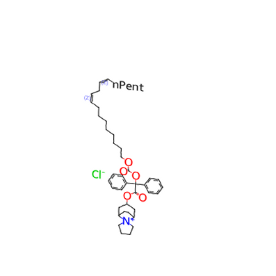 CCCCC/C=C\C/C=C\CCCCCCCCOC(=O)OC(C(=O)OC1CC2CCC(C1)[N+]21CCCC1)(c1ccccc1)c1ccccc1.[Cl-]